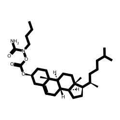 CCCCN(OC(=O)O[C@H]1CC[C@@]2(C)C(=CC[C@H]3[C@@H]4CC[C@H]([C@H](C)CCCC(C)C)[C@@]4(C)CC[C@@H]32)C1)C(N)=O